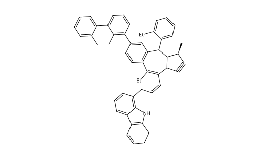 CCC1=C(/C=C\Cc2cccc3c4c([nH]c23)CCC=C4)C2C#C[C@H](C)C2C(c2ccccc2CC)c2cc(-c3cccc(-c4ccccc4C)c3C)ccc21